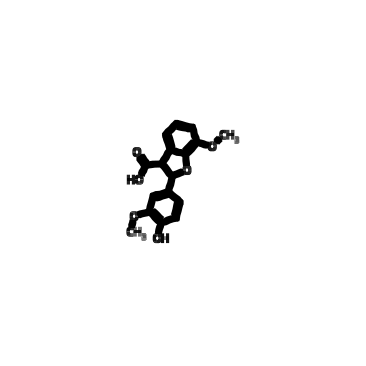 COc1cc(C2Oc3c(OC)cccc3C2C(=O)O)ccc1O